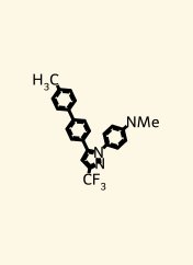 CNc1ccc(-n2nc(C(F)(F)F)cc2-c2ccc(-c3ccc(C)cc3)cc2)cc1